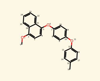 COc1ccc(Oc2ccc(Oc3ccc(C)cc3)cc2)c2ccccc12